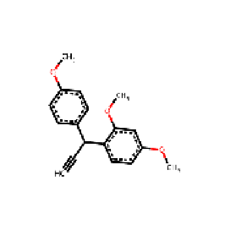 C#CC(c1ccc(OC)cc1)c1ccc(OC)cc1OC